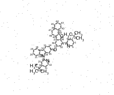 CC(C)(C)c1ccnc(-c2cc(Oc3ccc4c5ccccc5n(-c5cc(C(C)(C)C)ccn5)c4c3)cc3c2oc2c4ccccc4ccc32)c1